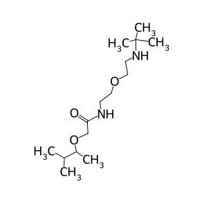 CC(C)C(C)OCC(=O)NCCOCCNC(C)(C)C